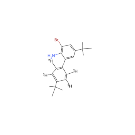 [2H]c1c([2H])c(C(C)(C)C)c([2H])c([2H])c1-c1cc(C(C)(C)C)cc(Br)c1N